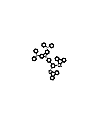 c1ccc(N(c2ccccc2)c2ccc3c(c2)c2cc(N(c4ccccc4)c4ccccc4)ccc2n3-c2ccc(-c3cc(-n4cnc5c6ccccc6c6ccccc6c54)cc(-n4cnc5c6ccccc6c6ccccc6c54)c3)cc2)cc1